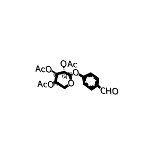 CC(=O)O[C@@H]1[C@H](Oc2ccc(C=O)cc2)OC[C@@H](OC(C)=O)[C@H]1OC(C)=O